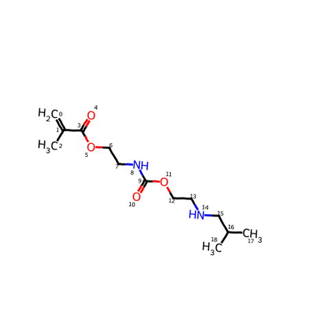 C=C(C)C(=O)OCCNC(=O)OCCNCC(C)C